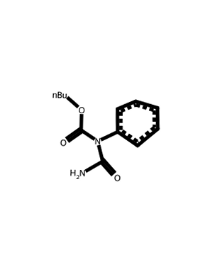 CCCCOC(=O)N(C(N)=O)c1ccccc1